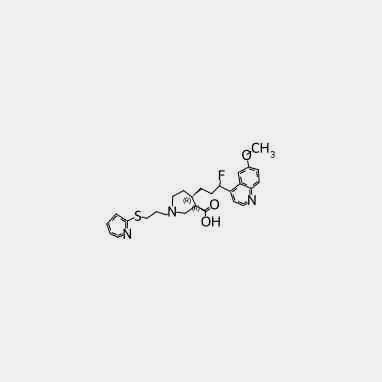 COc1ccc2nccc(C(F)CC[C@@H]3CCN(CCCSc4ccccn4)C[C@@H]3C(=O)O)c2c1